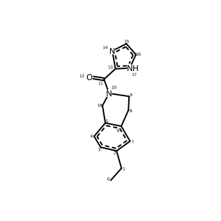 CCc1ccc2c(c1)CCN(C(=O)c1ncc[nH]1)C2